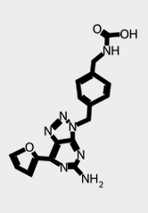 Nc1nc(-c2ccco2)c2nnn(Cc3ccc(CNC(=O)O)cc3)c2n1